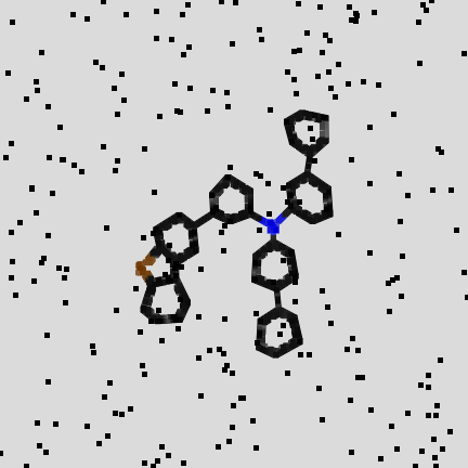 c1ccc(-c2ccc(N(c3cccc(-c4ccccc4)c3)c3cccc(-c4ccc5sc6ccccc6c5c4)c3)cc2)cc1